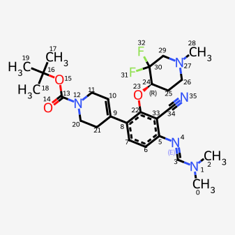 CN(C)/C=N/c1ccc(C2=CCN(C(=O)OC(C)(C)C)CC2)c(O[C@@H]2CCN(C)CC2(F)F)c1C#N